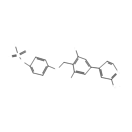 CC(=O)Nc1cc(-c2cc(F)c(COc3ccc(OS(=O)(=O)F)cc3)c(F)c2)ccn1